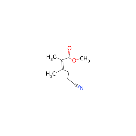 COC(=O)C(C)=C(C)CCC#N